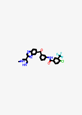 CN/C=C(\C=N)c1cnc2ccc(C(=O)c3cccc(NC(=O)c4ccc(Cl)c(C(F)(F)F)c4)c3)cc2n1